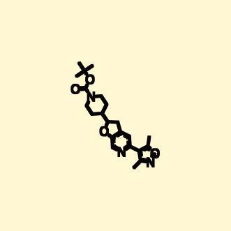 Cc1noc(C)c1-c1cc2c(cn1)OC(C1CCN(C(=O)OC(C)(C)C)CC1)C2